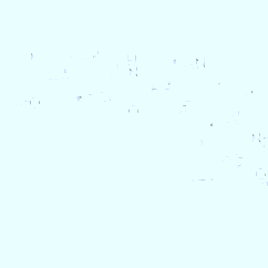 CCc1cc(-c2cncc(C(=O)Nc3ccc(C(C)=O)cc3)c2)c(C)[nH]c1=O